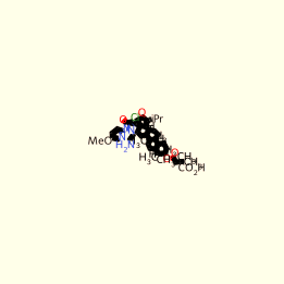 COc1ccc(-n2c(=O)c(Cl)c([C@@]34CC[C@]5(C)[C@H](CC[C@@H]6[C@@]7(C)CC[C@H](OC(=O)CC(C)(C)C(=O)O)C(C)(C)[C@@H]7CC[C@]65C)C3=C(C(C)C)C(=O)C4)n2CCN)nc1